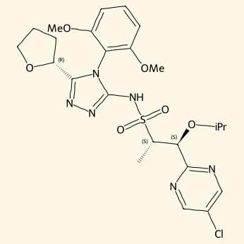 COc1cccc(OC)c1-n1c(NS(=O)(=O)[C@@H](C)[C@@H](OC(C)C)c2ncc(Cl)cn2)nnc1[C@H]1CCCO1